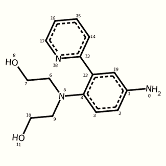 Nc1ccc(N(CCO)CCO)c(-c2ccccn2)c1